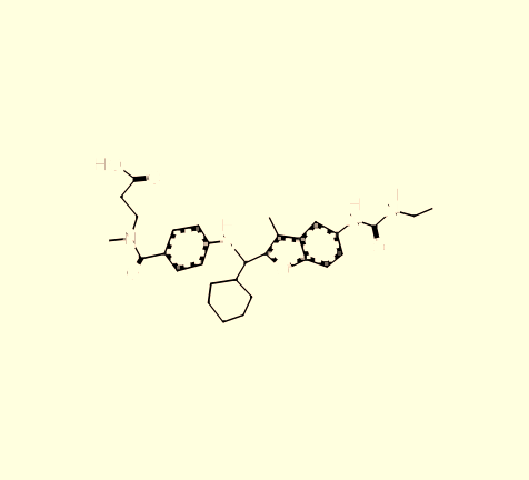 CCNC(=O)Nc1ccc2oc(C(Nc3ccc(C(=O)N(C)CCC(=O)O)cc3)C3CCCCC3)c(C)c2c1